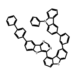 c1ccc(-c2ccc(-c3ccc4sc5c(-c6cccc7sc8ccc(-c9cccc(-c%10ccc%11c(c%10)c%10ccccc%10n%11-c%10ccccc%10)c9)cc8c67)ncnc5c4c3)cc2)cc1